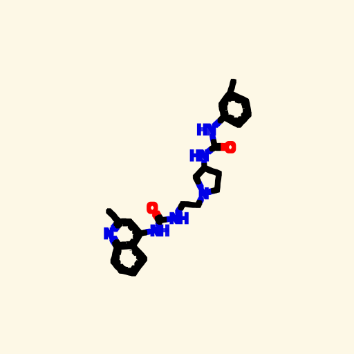 Cc1cccc(NC(=O)NC2CCN(CCNC(=O)Nc3cc(C)nc4ccccc34)C2)c1